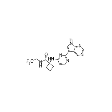 O=C(NCC(F)(F)F)C1(Nc2ccnc(-c3c[nH]c4ncncc34)n2)CCC1